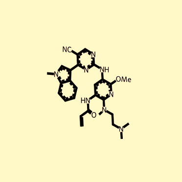 C=CC(=O)Nc1cc(Nc2ncc(C#N)c(-c3cn(C)c4ccccc34)n2)c(OC)nc1N(C)CCN(C)C